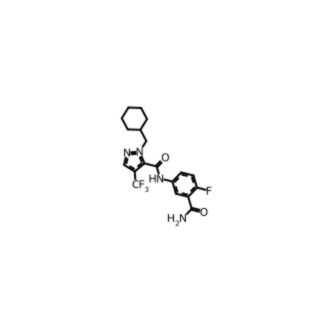 NC(=O)c1cc(NC(=O)c2c(C(F)(F)F)cnn2CC2CCCCC2)ccc1F